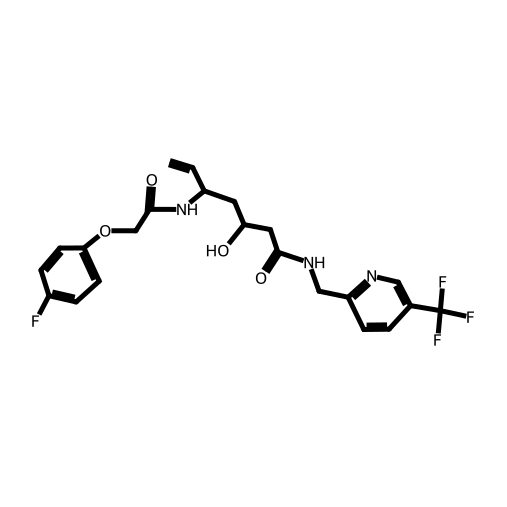 C=CC(CC(O)CC(=O)NCc1ccc(C(F)(F)F)cn1)NC(=O)COc1ccc(F)cc1